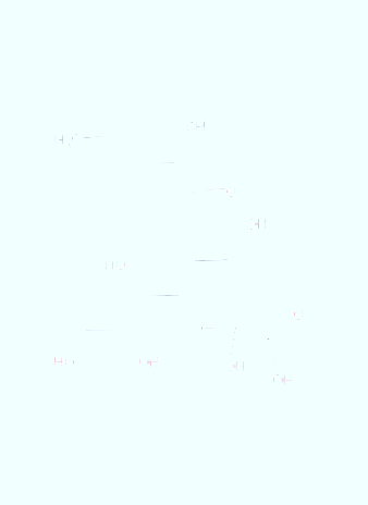 CSCC(C)C(=O)CC1C(O)CC(O)(C(=O)O)OC1C(O)C(O)CO